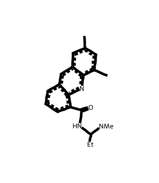 CCC(NC)NC(=O)c1cccc2cc3cc(C)cc(C)c3nc12